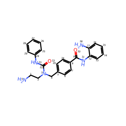 NCCN(Cc1ccc(C(=O)Nc2ccccc2N)cc1)C(=O)Nc1ccccc1